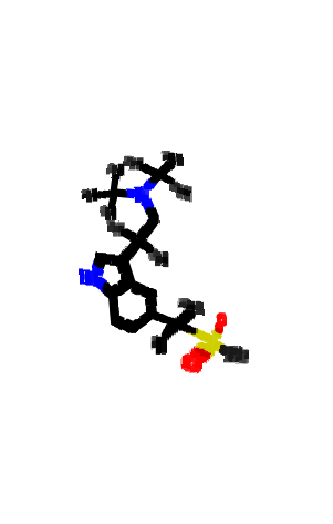 [2H]C([2H])(CN(C([2H])([2H])[2H])C([2H])([2H])[2H])c1c[nH]c2ccc(C([2H])([2H])S(=O)(=O)NC)cc12